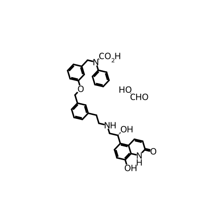 O=C(O)N(Cc1cccc(OCc2cccc(CCNC[C@H](O)c3ccc(O)c4[nH]c(=O)ccc34)c2)c1)c1ccccc1.O=CO